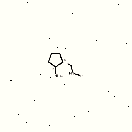 CCNC[C@H]1CCC[C@@H]1NC(C)=O